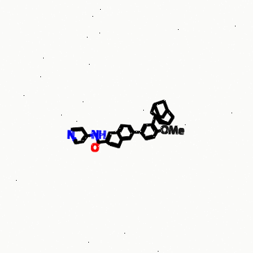 COc1ccc(-c2ccc3cc(C(=O)Nc4ccncc4)ccc3c2)cc1C12CC3CC(CC(C3)C1)C2